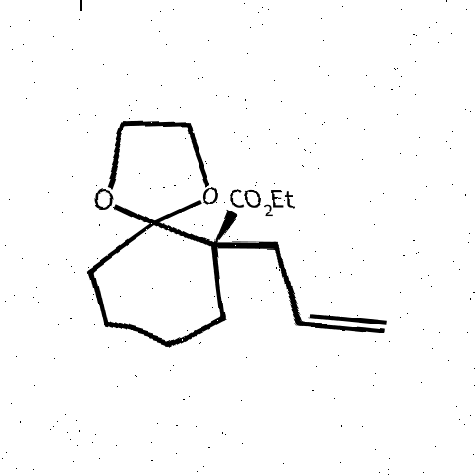 C=CC[C@]1(C(=O)OCC)CCCCC12OCCO2